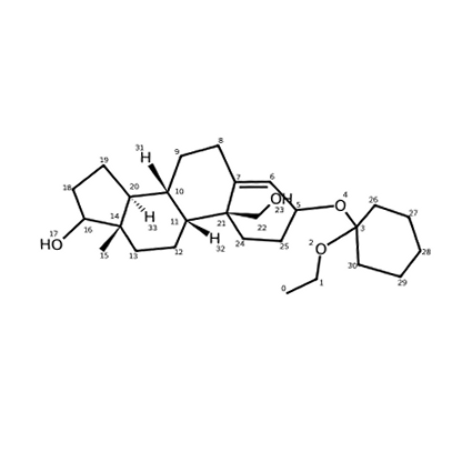 CCOC1(OC2C=C3CC[C@@H]4[C@@H](CC[C@]5(C)C(O)CC[C@@H]45)[C@@]3(CO)CC2)CCCCC1